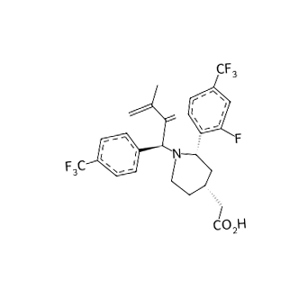 C=C(C)C(=C)[C@H](c1ccc(C(F)(F)F)cc1)N1CC[C@@H](CC(=O)O)C[C@H]1c1ccc(C(F)(F)F)cc1F